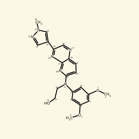 COc1cc(OC)cc(N(CCO)c2ccc3ncc(-c4cnn(C)c4)nc3n2)c1